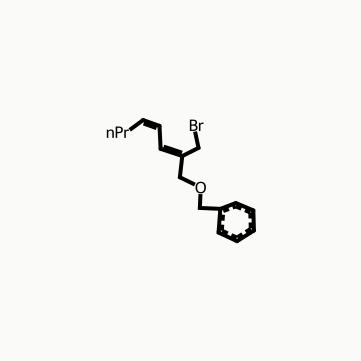 CCC/C=C\C=C(/CBr)COCc1ccccc1